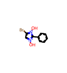 On1c(Br)c[n+](O)c1-c1ccccc1